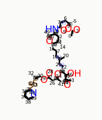 CC(=O)O[C@@H](C)/C=C\C(=O)N[C@@H]1C[C@H](C)[C@H](CC/C=C(C)/C=C/[C@H]2O[C@H](CC(=O)OC[C@@H](C)SSc3ccccn3)C[C@@]3(CO3)[C@@H]2O)O[C@@H]1C